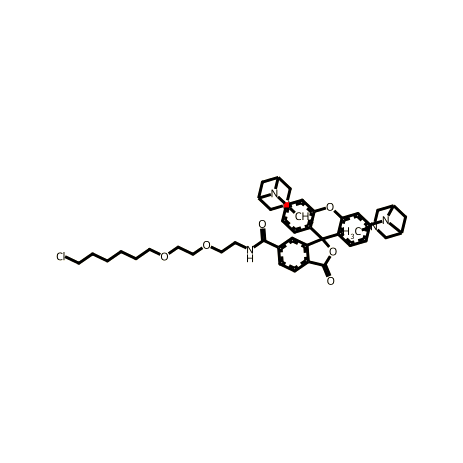 CN1CC2CC(C1)N2c1ccc2c(c1)Oc1cc(N3C4CC3CN(C)C4)ccc1C21OC(=O)c2ccc(C(=O)NCCOCCOCCCCCCCl)cc21